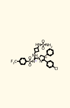 NS(=O)(=O)NC1CC(N/C(=N\S(=O)(=O)c2ccc(C(F)(F)F)cc2)N2C[C@@H](c3ccccc3)C(c3ccc(Cl)cc3)=N2)C1